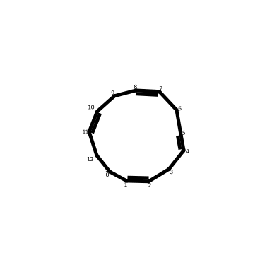 [CH]1C=CCC=CCC=CCC=CC1